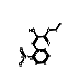 CCOC(=O)/C(O)=C\c1ccccc1[N+](=O)[O-]